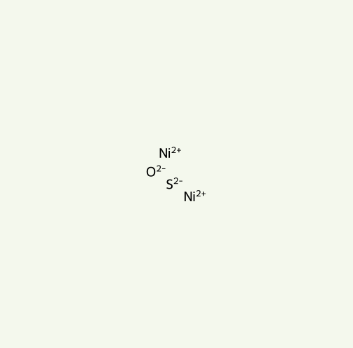 [Ni+2].[Ni+2].[O-2].[S-2]